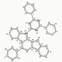 c1ccc(-c2nc(-c3ccccc3)nc(-n3c4ccccc4c4c(-c5ccccc5)cc5c6ccccc6oc5c43)n2)cc1